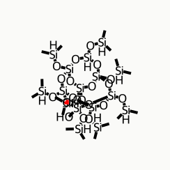 C[SiH](C)O[SiH]1O[Si]2(O[SiH](C)C)O[Si]3(O[SiH](C)C)O[Si](O)(O[SiH](C)C)O[Si]4(O[SiH](C)C)O[Si](O[SiH](C)C)(O1)O[Si](O[SiH](C)C)(O2)O[Si](O[SiH](C)C)(O3)O4